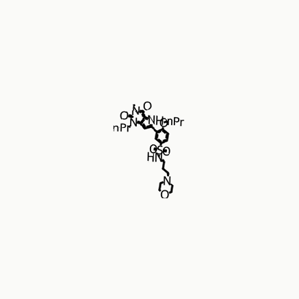 CCCOc1ccc(S(=O)(=O)NCCCN2CCOCC2)cc1-c1cc2c([nH]1)c(=O)n(C)c(=O)n2CCC